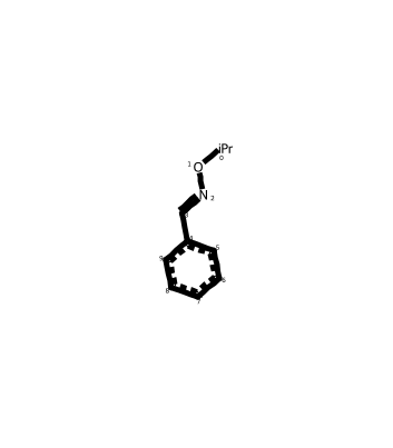 CC(C)O/N=C/c1cc[c]cc1